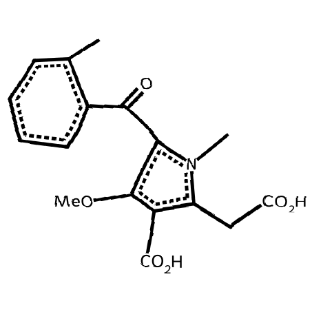 COc1c(C(=O)O)c(CC(=O)O)n(C)c1C(=O)c1ccccc1C